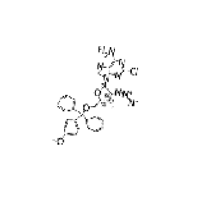 COc1ccc(C(OC[C@H]2O[C@@H](n3cnc4c(N)nc(Cl)nc43)[C@@H](N=[N+]=[N-])[C@@H]2C)(c2ccccc2)c2ccccc2)cc1